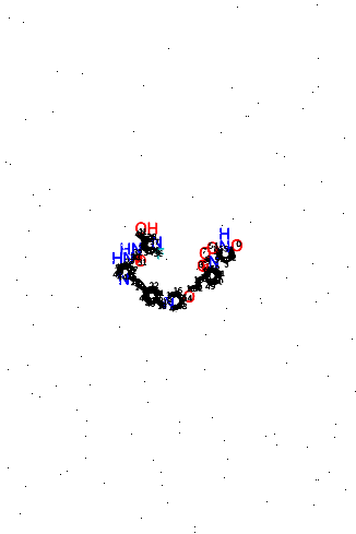 O=C1CCC(n2c(=O)oc3c(CCCOC4CCN(Cc5ccc(C#Cc6cc(NC(=O)Nc7cc(F)ncc7CO)ccn6)cc5)CC4)cccc32)C(=O)N1